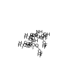 CC(C)(C)OC(=O)Nc1cn(C(=O)OC(C)(C)C)c2ccc(OCCc3ccc(C(F)(F)F)cc3)cc12.Nc1c[nH]c2ccc(OCCc3ccc(C(F)(F)F)cc3)cc12.O=C(O)C(F)(F)F